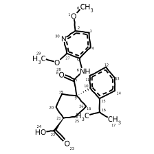 COc1ccc(NC(=O)[C@]2(c3ccccc3C(C)C)CC[C@H](C(=O)O)CC2)c(OC)n1